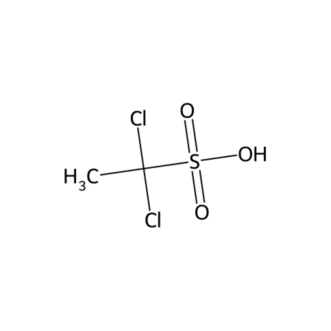 CC(Cl)(Cl)S(=O)(=O)O